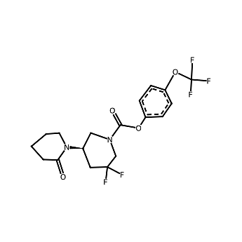 O=C(Oc1ccc(OC(F)(F)F)cc1)N1C[C@H](N2CCCCC2=O)CC(F)(F)C1